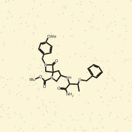 COc1ccc(CN2CC3(CC(NC(C(N)=O)C(C)OCc4ccccc4)CN3C(=O)OC(C)(C)C)C2=O)cc1